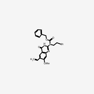 C=Cc1cc2c(=O)[nH]c(N(CCC(C)C)C(=O)OCc3ccccc3)nc2cc1OC